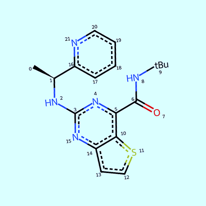 C[C@H](Nc1nc(C(=O)NC(C)(C)C)c2sccc2n1)c1ccccn1